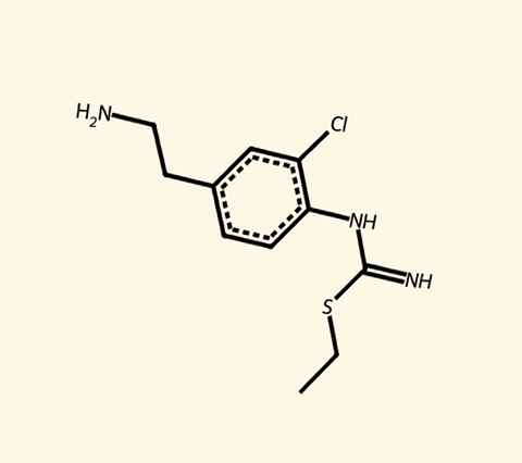 CCSC(=N)Nc1ccc(CCN)cc1Cl